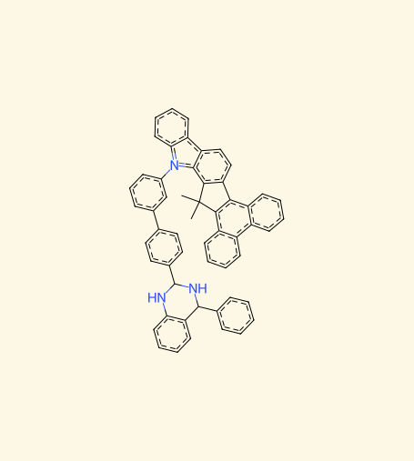 CC1(C)c2c(c3ccccc3c3ccccc23)-c2ccc3c4ccccc4n(-c4cccc(-c5ccc(C6Nc7ccccc7C(c7ccccc7)N6)cc5)c4)c3c21